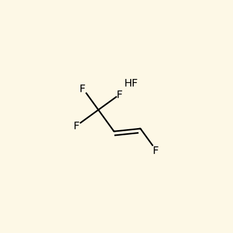 F.FC=CC(F)(F)F